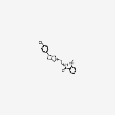 CNc1ccccc1C(=O)NCCN1CC2CC(c3ccc(Cl)cc3)C2C1